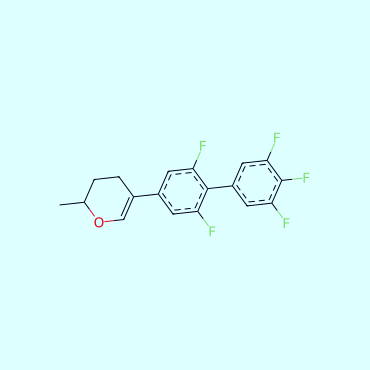 CC1CCC(c2cc(F)c(-c3cc(F)c(F)c(F)c3)c(F)c2)=CO1